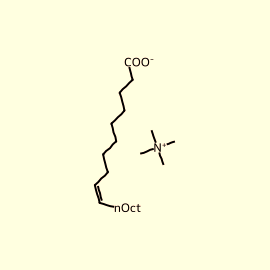 CCCCCCCC/C=C\CCCCCCCC(=O)[O-].C[N+](C)(C)C